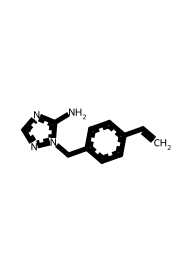 C=Cc1ccc(Cn2ncnc2N)cc1